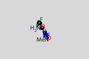 CNC(=O)c1nc2c(n1C)CN([C@H]1CO[C@H](c3cc(F)ccc3F)[C@@H](N)C1)C2